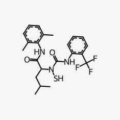 Cc1cccc(C)c1NC(=O)C(CC(C)C)N(S)C(=O)Nc1ccccc1C(F)(F)F